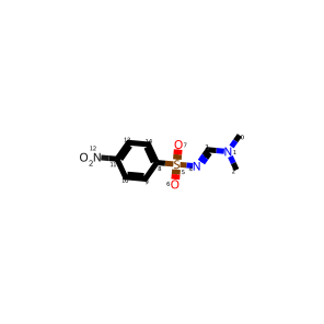 CN(C)C=NS(=O)(=O)c1ccc([N+](=O)[O-])cc1